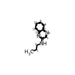 CCCNc1cnc2ccccc2n1